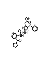 O=C(O)Cc1nc(NC(=O)Nc2cnccc2C(=O)C2CCCC2)sc1Sc1ccccn1